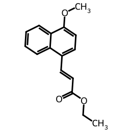 CCOC(=O)C=Cc1ccc(OC)c2ccccc12